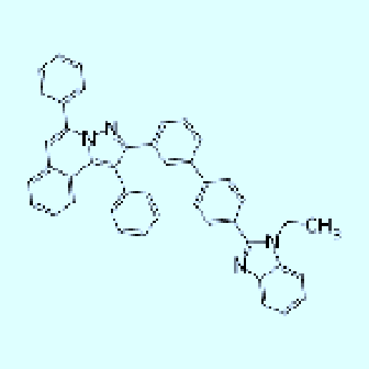 CCn1c(-c2ccc(-c3cccc(-c4nn5c(-c6ccccc6)cc6ccccc6c5c4-c4ccccc4)c3)cc2)nc2ccccc21